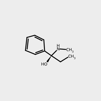 CC[C@@](O)(NC)c1ccccc1